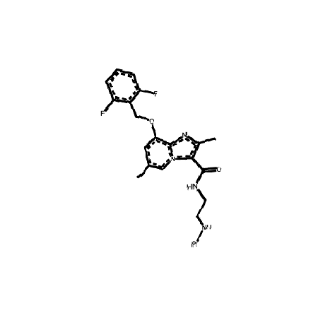 Cc1cc(OCc2c(F)cccc2F)c2nc(C)c(C(=O)NCCNC(C)C)n2c1